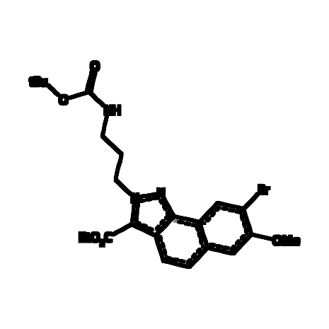 CCOC(=O)c1c2ccc3cc(OC)c(Br)cc3c2nn1CCCNC(=O)OC(C)(C)C